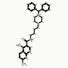 Cc1ccc2c(O)c(C(=O)NCCCCN3CCN(C(c4ccccc4)c4ccccc4)CC3)cnc2n1